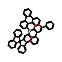 c1ccc(-c2ccc(N(c3ccc4c(c3)C3(c5ccccc5-c5ccccc53)c3ccccc3-4)c3cccc4c5ccccc5c5ccccc5c34)c(-c3ccccc3)c2)cc1